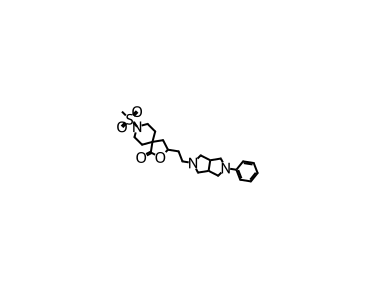 CS(=O)(=O)N1CCC2(CC1)CC(CCN1CC3CN(c4ccccc4)CC3C1)OC2=O